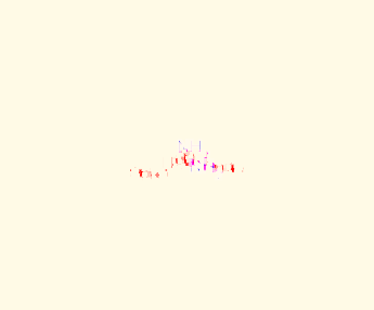 CCCCCOc1ccc(OC(=O)C=Cc2ccc(OCCCCCCCCCCCC(CCCCCCCCCCCOc3ccc(C=CC(=O)Oc4ccc(OCCCCC)cc4)cc3)(c3ccc(N)cc3)C(Cc3ccc(N)cc3)(C(=O)O)C(=O)O)cc2)cc1